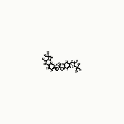 CC(Cc1ccc(OC(=O)Oc2ccc(CC(C)CC(C)(C)C)cc2)cc1)CC(C)(C)C